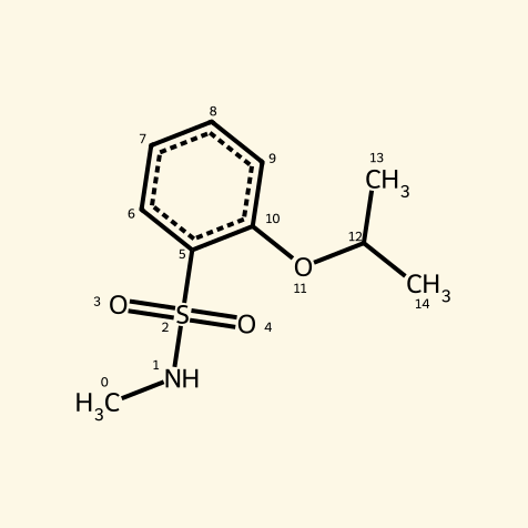 CNS(=O)(=O)c1ccccc1OC(C)C